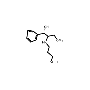 COCC(NCCCS(=O)(=O)O)[C@@H](O)c1ccccc1